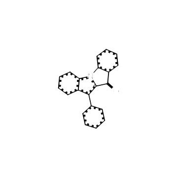 O=C1c2ccccc2-n2c1c(-c1ccccc1)c1ccccc12